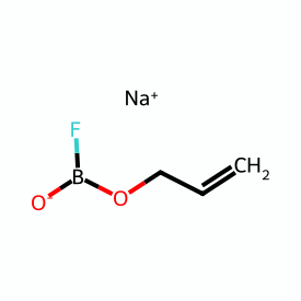 C=CCOB([O-])F.[Na+]